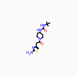 CC(C)(C)NC(=O)NC1CCN(C(=O)Cc2csc(N)n2)CC1